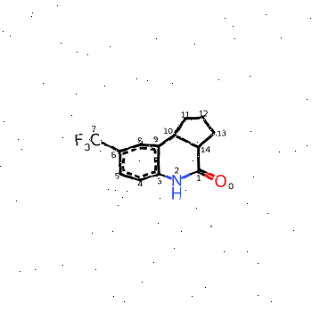 O=C1Nc2ccc(C(F)(F)F)cc2C2CCCC12